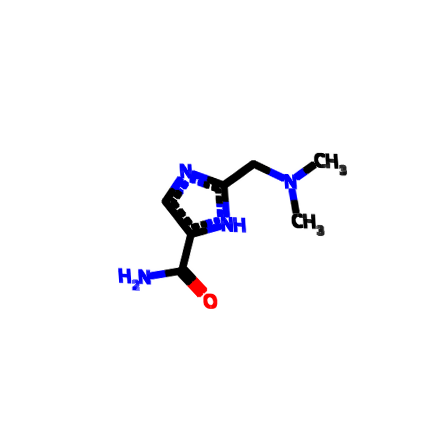 CN(C)Cc1ncc(C(N)=O)[nH]1